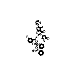 COc1ccc(F)cc1[C@H](COc1nc2sc(-n3nccn3)c(C)c2c(=O)n1[C@@H]1CC(=O)N(C)C1)OCCO[Si](c1ccccc1)(c1ccccc1)C(C)(C)C